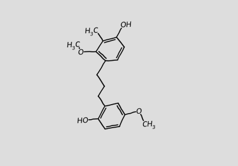 COc1ccc(O)c(CCCc2ccc(O)c(C)c2OC)c1